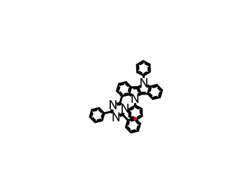 c1ccc(-c2nc(-c3ccccc3)nc(-c3cccc4c3n(-c3ccccc3)c3c5ccccc5n(-c5ccccc5)c43)n2)cc1